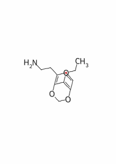 CCOc1c2ccc(CCN)c1OCO2